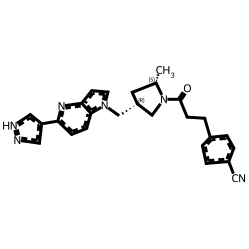 C[C@H]1C[C@@H](Cn2ccc3nc(-c4cn[nH]c4)ccc32)CN1C(=O)CCc1ccc(C#N)cc1